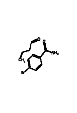 CCCC=O.NC(=O)c1ccc(Br)cc1